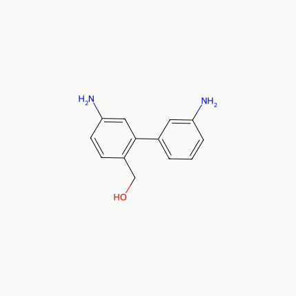 Nc1cccc(-c2cc(N)ccc2CO)c1